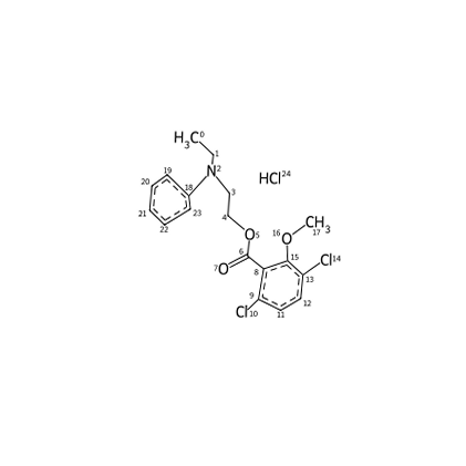 CCN(CCOC(=O)c1c(Cl)ccc(Cl)c1OC)c1ccccc1.Cl